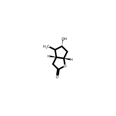 CC1[C@H](O)C[C@@H]2OC(=O)C[C@H]12